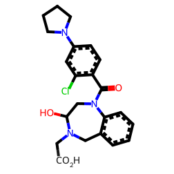 O=C(O)CN1Cc2ccccc2N(C(=O)c2ccc(N3CCCC3)cc2Cl)CC1O